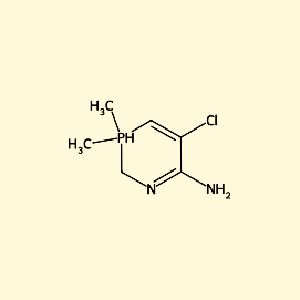 C[PH]1(C)C=C(Cl)C(N)=NC1